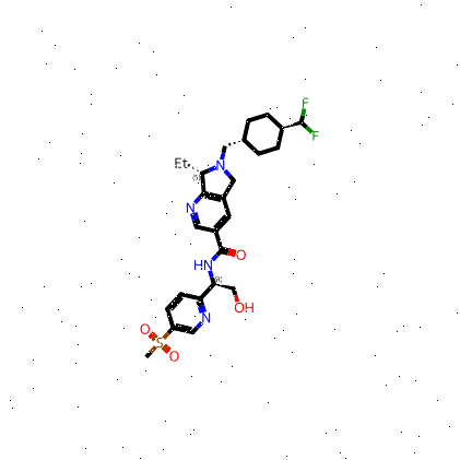 CC[C@H]1c2ncc(C(=O)N[C@@H](CO)c3ccc(S(C)(=O)=O)cn3)cc2CN1C[C@H]1CC[C@H](C(F)F)CC1